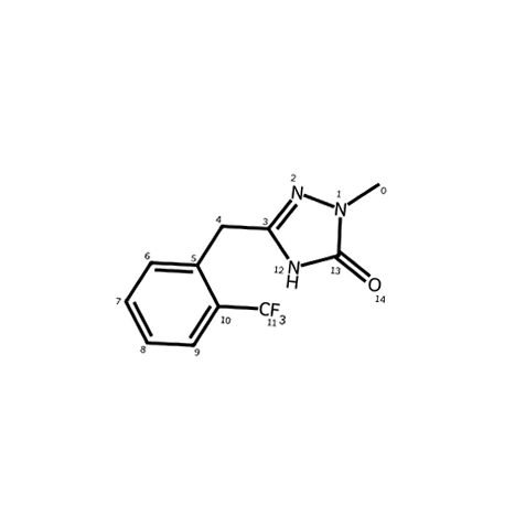 Cn1nc(Cc2ccccc2C(F)(F)F)[nH]c1=O